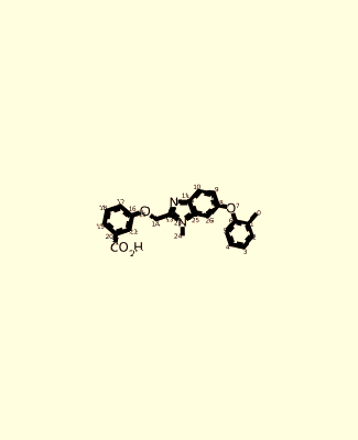 Cc1ccccc1Oc1ccc2nc(COc3cccc(C(=O)O)c3)n(C)c2c1